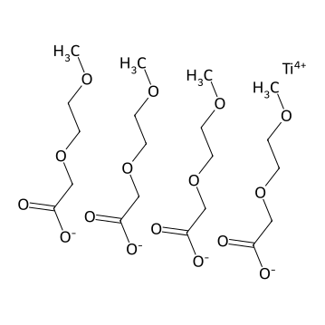 COCCOCC(=O)[O-].COCCOCC(=O)[O-].COCCOCC(=O)[O-].COCCOCC(=O)[O-].[Ti+4]